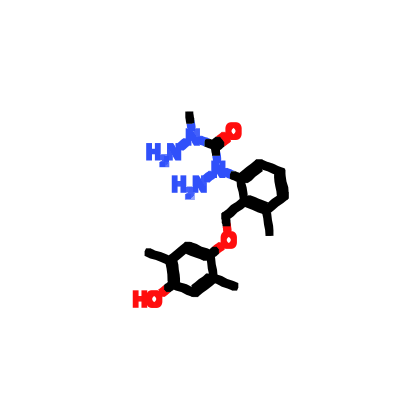 Cc1cc(OCc2c(C)cccc2N(N)C(=O)N(C)N)c(C)cc1O